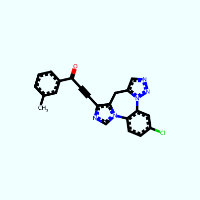 Cc1cccc(C(=O)C#Cc2ncn3c2Cc2cnnn2-c2cc(Cl)ccc2-3)c1